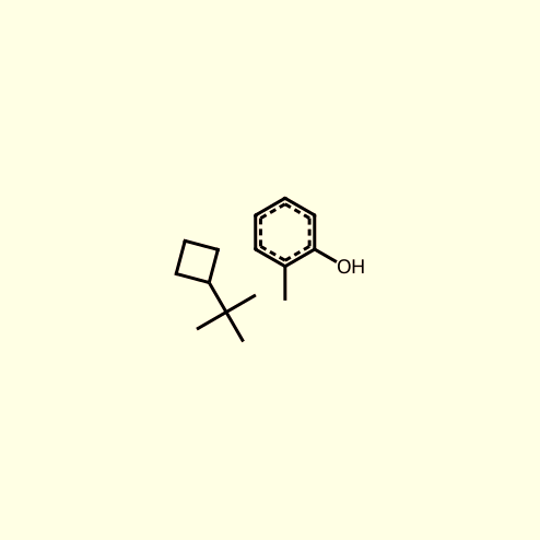 CC(C)(C)C1CCC1.Cc1ccccc1O